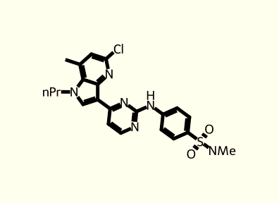 CCCn1cc(-c2ccnc(Nc3ccc(S(=O)(=O)NC)cc3)n2)c2nc(Cl)cc(C)c21